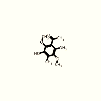 COc1c(C)c(O)c(OC)c(C(C)=O)c1N